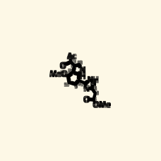 COC(=O)Cc1n[nH]c(-c2ccc(OC)c3c(C(=O)C(C)=O)c[nH]c23)n1